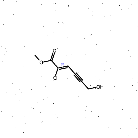 COC(=O)/C(Cl)=C/C#CCO